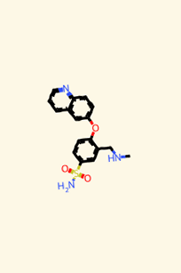 CNCc1cc(S(N)(=O)=O)ccc1Oc1ccc2ncccc2c1